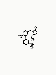 COc1ccc(CN2C(=O)CCC2CO)cc1-c1cccc(NO)c1